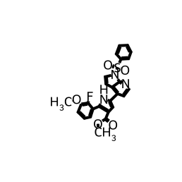 COC(=O)c1cc(-c2ccnc3c2ccn3S(=O)(=O)c2ccccc2)[nH]c1-c1cccc(OC)c1F